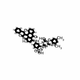 Cc1cc(C)c(Nc2nc(O)nc(Nc3cc(Nc4ccc5[nH]c(=O)c(C(=O)c6ccccc6)c6c5c4C(=O)c4ccccc4-6)ccc3S(=O)(=O)O)n2)c(C)c1